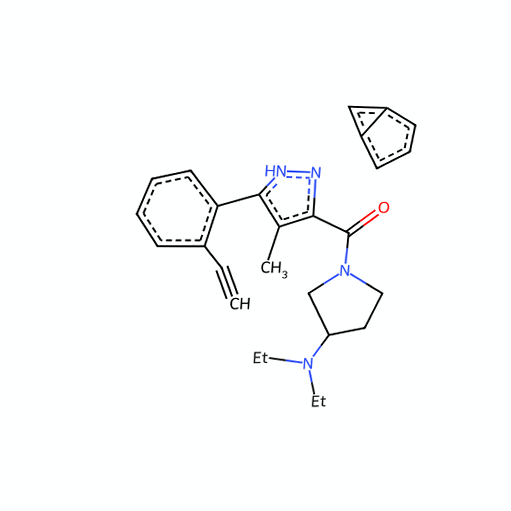 C#Cc1ccccc1-c1[nH]nc(C(=O)N2CCC(N(CC)CC)C2)c1C.c1cc2cc-2c1